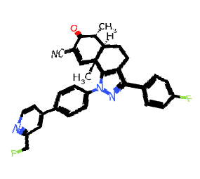 C[C@H]1C(=O)C(C#N)=C[C@@]2(C)c3c(c(-c4ccc(F)cc4)nn3-c3ccc(-c4ccnc(CF)c4)cc3)CC[C@H]12